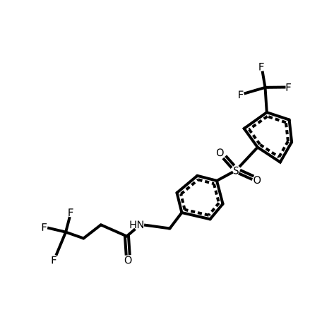 O=C(CCC(F)(F)F)NCc1ccc(S(=O)(=O)c2cccc(C(F)(F)F)c2)cc1